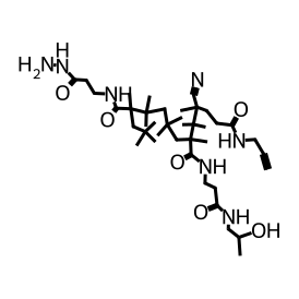 C#CCNC(=O)CCC(C)(C#N)C(C)(C)C(C)(CC(C)(C)CC(C)(C)C(C)(CC(C)(C)C)C(=O)NCCC(=O)NN)C(=O)NCCC(=O)NCC(C)O